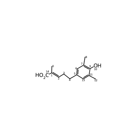 CC(=CCCc1cc(C)c(O)c(C)c1)C(=O)O